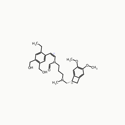 CCc1cc(CO)c(CO)cc1/C=C\N(C=O)CCCN(C)C[C@H]1Cc2cc(OC)c(OC)cc21